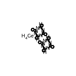 [GeH4].c1ccc2c(c1)-c1nc-2nc2[nH]c(nc3nc(nc4[nH]c(n1)c1ccccc41)-c1ccccc1-3)c1ccccc21.c1ccc2c(c1)-c1nc-2nc2[nH]c(nc3nc(nc4[nH]c(n1)c1ccccc41)-c1ccccc1-3)c1ccccc21